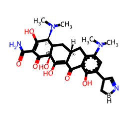 CN(C)c1cc(C2C=NBC2)c(O)c2c1C[C@H]1CC3[C@H](N(C)C)C(O)=C(C(N)=O)C(=O)[C@@]3(O)C(O)=C1C2=O